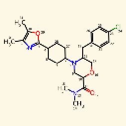 Cc1nc(C2CCC(N3CC(C(=O)N(C)C)OCC3Cc3ccc(Cl)cc3)CC2)oc1C